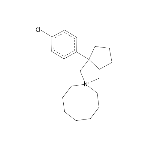 C[N+]1(CC2(c3ccc(Cl)cc3)CCCC2)CCCCCCC1